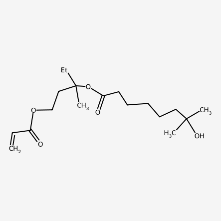 C=CC(=O)OCCC(C)(CC)OC(=O)CCCCCC(C)(C)O